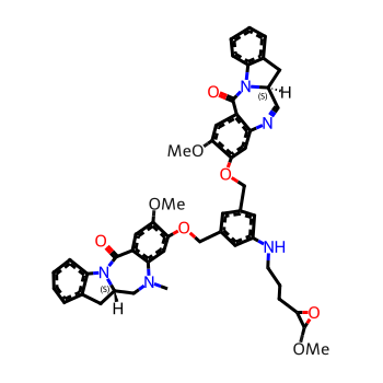 COc1cc2c(cc1OCc1cc(COc3cc4c(cc3OC)C(=O)N3c5ccccc5C[C@H]3CN4C)cc(NCCCC3OC3OC)c1)N=C[C@@H]1Cc3ccccc3N1C2=O